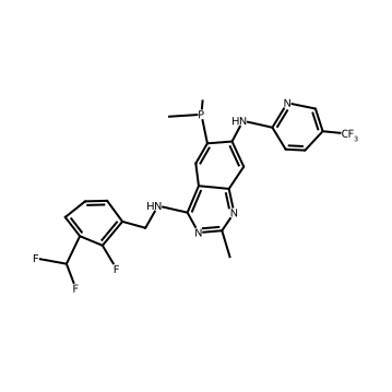 Cc1nc(NCc2cccc(C(F)F)c2F)c2cc(P(C)C)c(Nc3ccc(C(F)(F)F)cn3)cc2n1